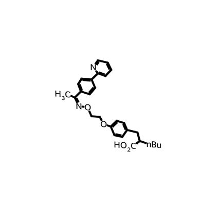 CCCCC(Cc1ccc(OCCO/N=C(/C)c2ccc(-c3ccccn3)cc2)cc1)C(=O)O